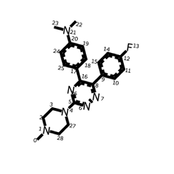 CN1CCN(c2nnc(-c3ccc(F)cc3)c(-c3ccc(N(C)C)cc3)n2)CC1